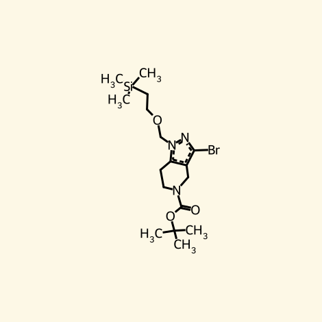 CC(C)(C)OC(=O)N1CCc2c(c(Br)nn2COCC[Si](C)(C)C)C1